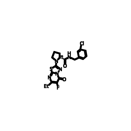 CCc1nc2sc(N3CCC[C@@H]3C(=O)NCc3cccc(Cl)c3)nn2c(=O)c1F